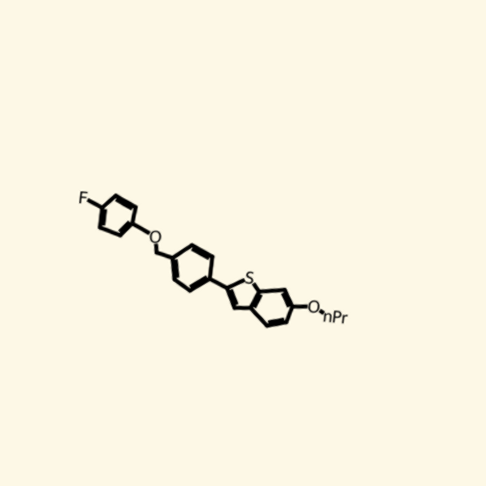 CCCOc1ccc2cc(-c3ccc(COc4ccc(F)cc4)cc3)sc2c1